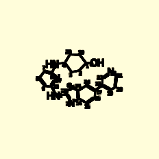 OC1CCC(Nc2cccc(Nc3nc4ccc(-c5cccnc5)cc4s3)n2)CC1